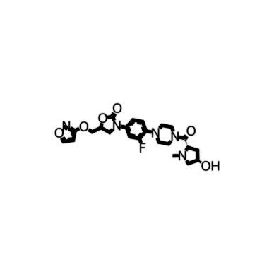 CN1C[C@H](O)C[C@H]1C(=O)N1CCN(c2ccc(N3CC(COc4ccon4)OC3=O)cc2F)CC1